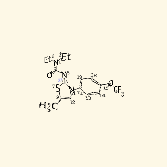 CCN(CC)C(=O)/N=c1\sc(C)cn1-c1ccc(OC(F)(F)F)cc1